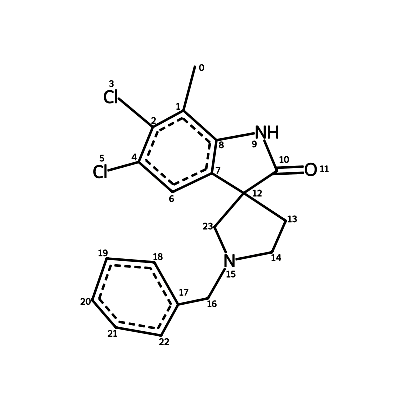 Cc1c(Cl)c(Cl)cc2c1NC(=O)C21CCN(Cc2ccccc2)C1